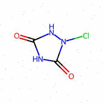 O=c1[nH]c(=O)n(Cl)[nH]1